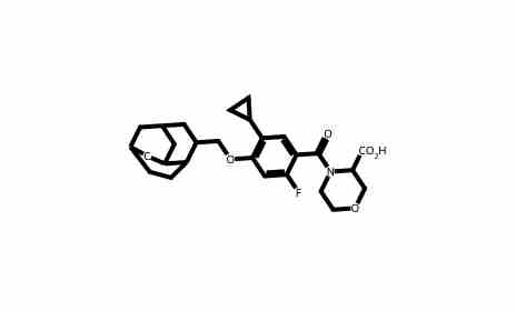 O=C(O)C1COCCN1C(=O)c1cc(C2CC2)c(OCC2CC3CC4CCC2C(C4)C3)cc1F